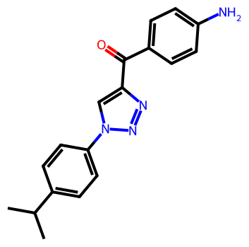 CC(C)c1ccc(-n2cc(C(=O)c3ccc(N)cc3)nn2)cc1